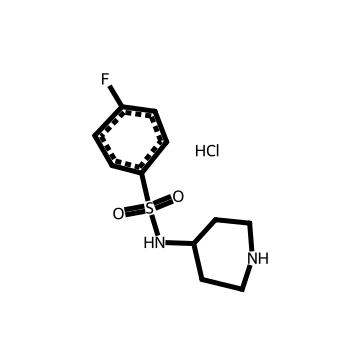 Cl.O=S(=O)(NC1CCNCC1)c1ccc(F)cc1